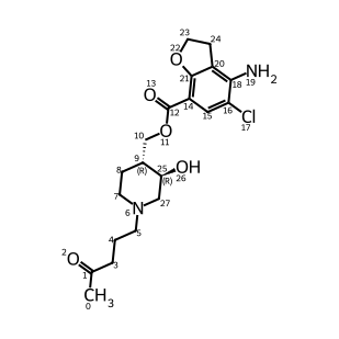 CC(=O)CCCN1CC[C@H](COC(=O)c2cc(Cl)c(N)c3c2OCC3)[C@@H](O)C1